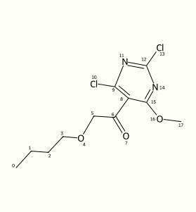 CCCCOCC(=O)c1c(Cl)nc(Cl)nc1OC